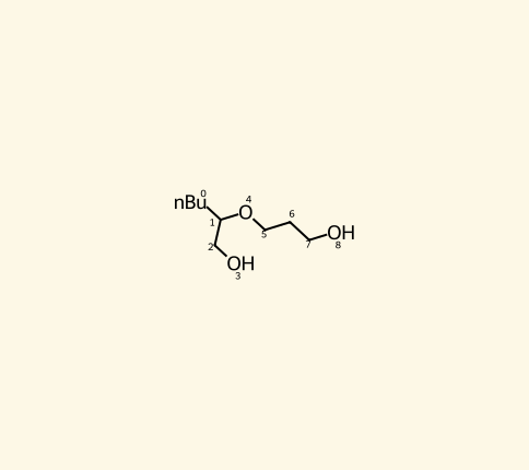 CCCCC(CO)OCCCO